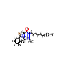 CCCCCCCCCCCCCCCCNC(=O)[C@@H]1CSC(c2ccccc2NC(C)=O)N1C